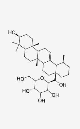 C[C@H]1CCC[C@]2(C(O)[C@@H]3OC(CO)[C@@H](O)C(O)C3O)CCC3C(=CCC4[C@@]3(C)CCC3C(C)(C)[C@@H](O)CC[C@@]34C)C12